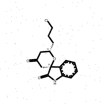 O=C1C[C@H](CCCCl)O[C@]2(C1)C(=O)Nc1ccccc12